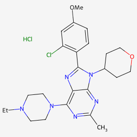 CCN1CCN(c2nc(C)nc3c2nc(-c2ccc(OC)cc2Cl)n3C2CCOCC2)CC1.Cl